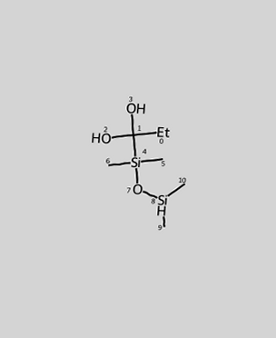 CCC(O)(O)[Si](C)(C)O[SiH](C)C